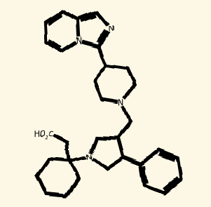 O=C(O)CC1(N2CC(CN3CCC(c4ncc5ccccn45)CC3)C(c3ccccc3)C2)CCCCC1